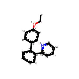 CCOc1ccc(-c2ccccc2-c2ccccn2)cc1